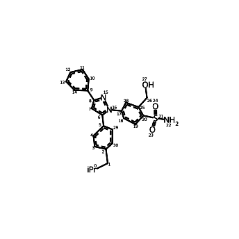 CC(C)Cc1ccc(-c2cc(-c3ccccc3)nn2-c2ccc(S(N)(=O)=O)c(CO)c2)cc1